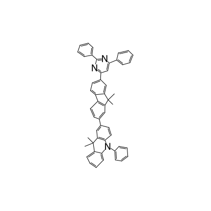 CC1(C)c2cc(-c3ccc4c(c3)C(C)(C)c3ccccc3N4c3ccccc3)ccc2-c2ccc(-c3cc(-c4ccccc4)nc(-c4ccccc4)n3)cc21